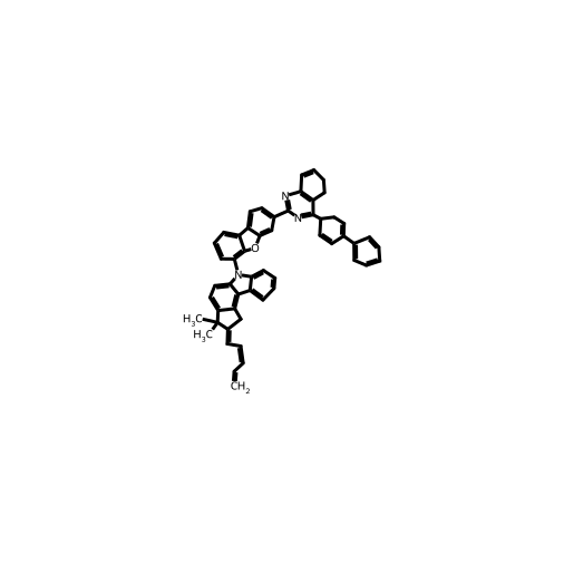 C=C/C=C\C=C1/Cc2c(ccc3c2c2ccccc2n3-c2cccc3c2oc2cc(-c4nc5c(c(C6C=CC(c7ccccc7)=CC6)n4)CCC=C5)ccc23)C1(C)C